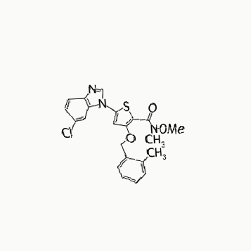 CON(C)C(=O)c1sc(-n2cnc3ccc(Cl)cc32)cc1OCc1ccccc1C